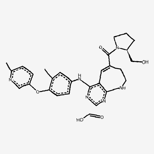 Cc1ccc(Oc2ccc(Nc3ncnc4c3C=C(C(=O)N3CCC[C@H]3CO)CCN4)cc2C)cn1.O=CO